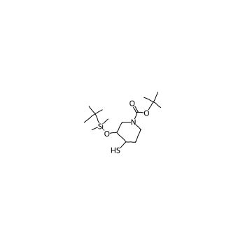 CC(C)(C)OC(=O)N1CCC(S)C(O[Si](C)(C)C(C)(C)C)C1